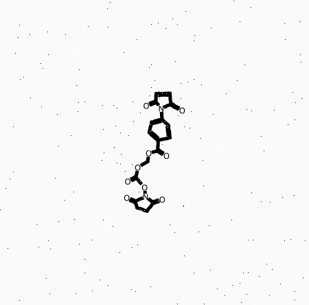 O=C(OCOC(=O)c1ccc(N2C(=O)C=CC2=O)cc1)ON1C(=O)CCC1=O